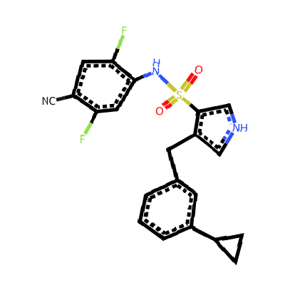 N#Cc1cc(F)c(NS(=O)(=O)c2c[nH]cc2Cc2cccc(C3CC3)c2)cc1F